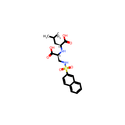 CC(C)C[C@H](N[C@@H](CNS(=O)(=O)c1ccc2ccccc2c1)C(=O)O)C(=O)O